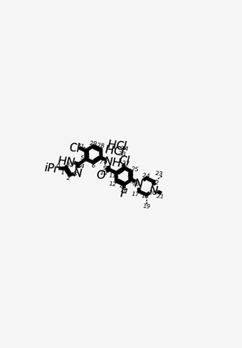 CC(C)c1cnc(-c2cc(NC(=O)c3cc(F)c(N4C[C@@H](C)N(C)[C@@H](C)C4)cc3Cl)ccc2Cl)[nH]1.Cl.Cl